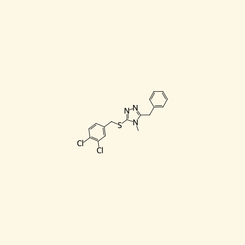 Cn1c(Cc2ccccc2)nnc1SCc1ccc(Cl)c(Cl)c1